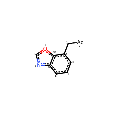 CC(=O)Cc1cccc2ncoc12